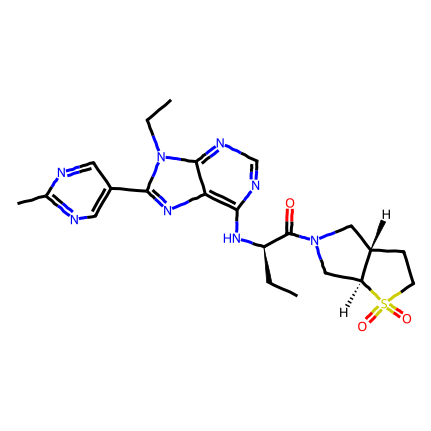 CC[C@@H](Nc1ncnc2c1nc(-c1cnc(C)nc1)n2CC)C(=O)N1C[C@@H]2CCS(=O)(=O)[C@H]2C1